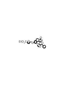 CCOC(=O)c1ccc(COc2ccc3c(c2)CCn2c-3cc(OC(C3=CC=CCC3)C3=COC=CO3)nc2=O)o1